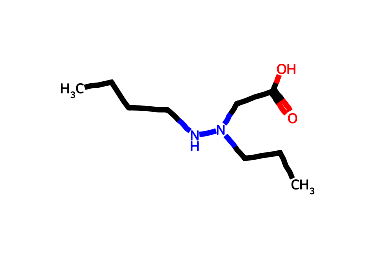 CCCCNN(CCC)CC(=O)O